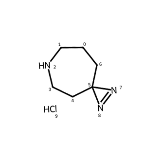 C1CNCCC2(C1)N=N2.Cl